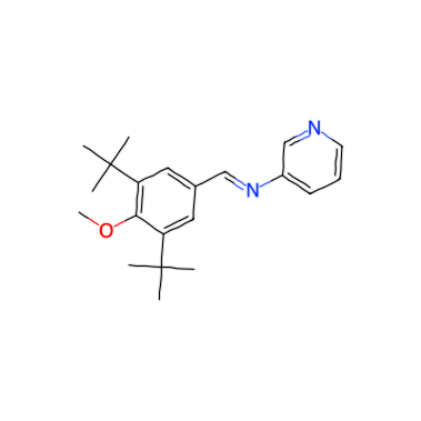 COc1c(C(C)(C)C)cc(C=Nc2cccnc2)cc1C(C)(C)C